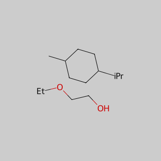 CC1CCC(C(C)C)CC1.CCOCCO